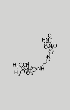 CC1(C)CC(C)(C)C1NC(=O)c1ccc(NCCCCC2CCN(c3ccc4c(c3)C(=O)N(C3CCC(=O)NC3=O)C4=O)CC2)cc1